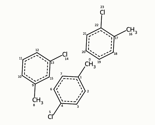 Cc1ccc(Cl)cc1.Cc1cccc(Cl)c1.Cc1ccccc1Cl